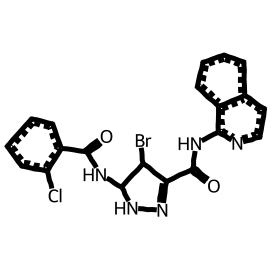 O=C(Nc1nccc2ccccc12)C1=NNC(NC(=O)c2ccccc2Cl)C1Br